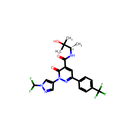 C[C@H](NC(=O)c1cc(-c2ccc(C(F)(F)F)cc2)nn(-c2cnn(C(F)F)c2)c1=O)C(C)(C)O